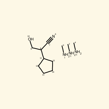 CN.CN.CN.N#CC(CO)C1CCCC1